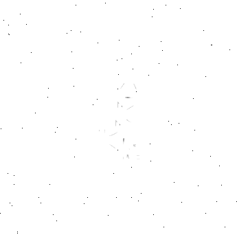 CCS(=O)(=O)c1ccc(O)c(NC(=O)c2cc3cc(C)ccc3[nH]2)c1